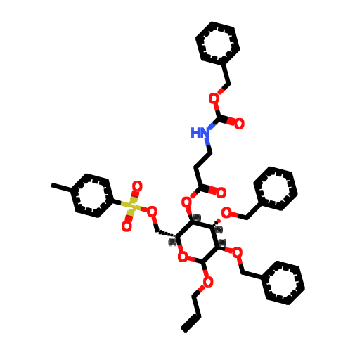 C=CCOC1O[C@H](COS(=O)(=O)c2ccc(C)cc2)[C@@H](OC(=O)CCNC(=O)OCc2ccccc2)[C@H](OCc2ccccc2)[C@H]1OCc1ccccc1